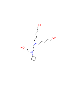 OCCCCCN(CCCCCO)CCN(CCO)C1CCC1